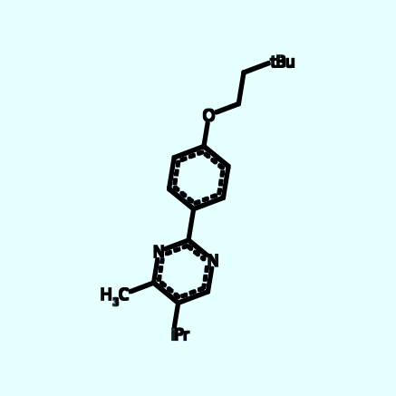 Cc1nc(-c2ccc(OCCC(C)(C)C)cc2)ncc1C(C)C